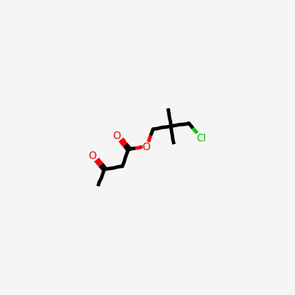 CC(=O)CC(=O)OCC(C)(C)CCl